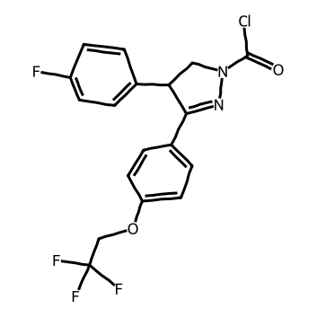 O=C(Cl)N1CC(c2ccc(F)cc2)C(c2ccc(OCC(F)(F)F)cc2)=N1